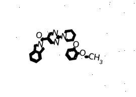 CCOc1ccccc1O[C@@H]1CCCN(c2ncc(C(=O)N3Cc4ccccc4C3)cn2)C1